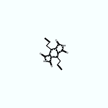 C=CCc1c2c(=O)[nH]c(=O)c2c(CC=C)c2c(=O)[nH]c(=O)c12